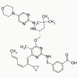 C/C=C/C=C\C(=C\c1nc(NSc2cccc(C(=O)O)c2)nc(OC[C@@H](CC(C)(C)C)NCc2ncc(N3CCOCC3)cn2)c1C)C1CC1